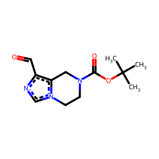 CC(C)(C)OC(=O)N1CCn2cnc(C=O)c2C1